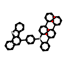 c1ccc(-c2ccc(-c3ccccc3N(c3ccc(-c4ccccc4)cc3)c3ccc(-c4cc5ccccc5c5sc6ccccc6c45)cc3)cc2)cc1